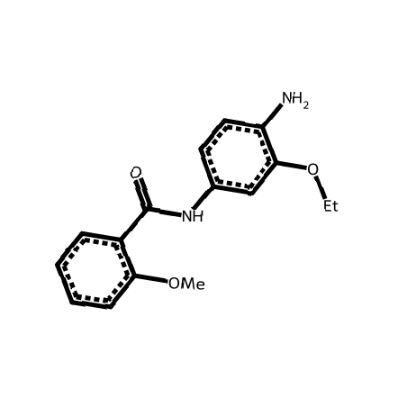 CCOc1cc(NC(=O)c2ccccc2OC)ccc1N